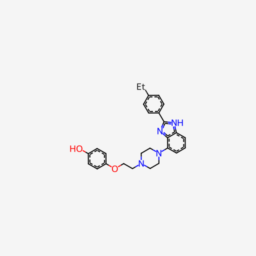 CCc1ccc(-c2nc3c(N4CCN(CCOc5ccc(O)cc5)CC4)cccc3[nH]2)cc1